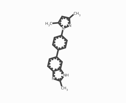 Cc1cc(C)n(-c2ccc(-c3ccc4nc(C)[nH]c4c3)cc2)n1